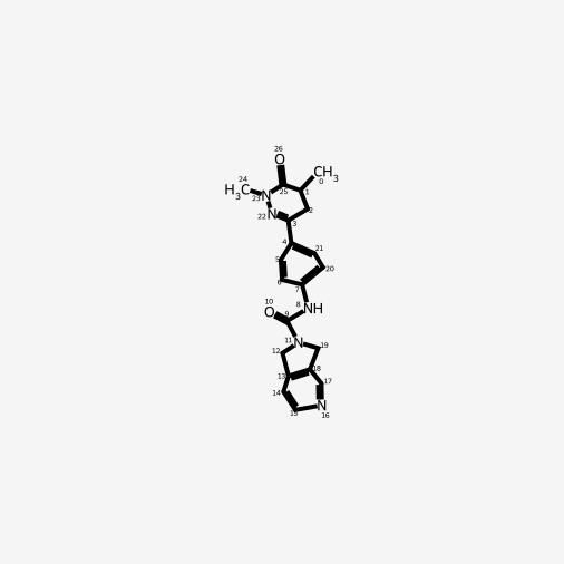 CC1CC(c2ccc(NC(=O)N3Cc4ccncc4C3)cc2)=NN(C)C1=O